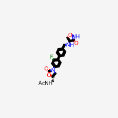 CC(=O)NC[C@H]1CN(c2ccc(-c3ccc(CN[C@H]4CONC4=O)cc3)c(F)c2)C(=O)O1